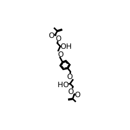 C=C(C)C(=O)OCC(O)COCc1ccc(COCC(O)COC(=O)C(=C)C)cc1